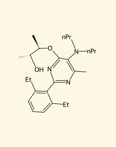 CCCN(CCC)c1c(C)nc(-c2c(CC)cccc2CC)nc1O[C@H](C)[C@@H](C)O